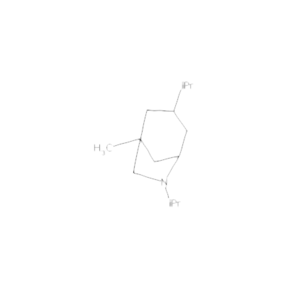 CC(C)C1CC2CC(C)(C1)CN2C(C)C